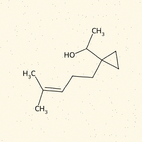 CC(C)=CCCC1(C(C)O)CC1